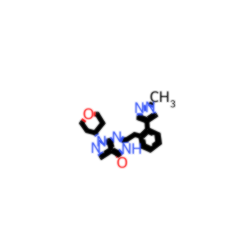 Cn1cc(-c2ccccc2Cc2nc3c(cnn3C3CCOCC3)c(=O)[nH]2)cn1